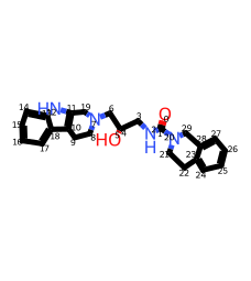 O=C(NCC(O)CN1CCc2c([nH]c3ccccc23)C1)N1CCc2ccccc2C1